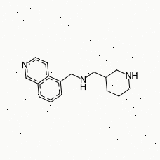 c1cc(CNCC2CCCNC2)c2ccncc2c1